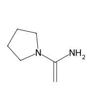 C=C(N)N1CCCC1